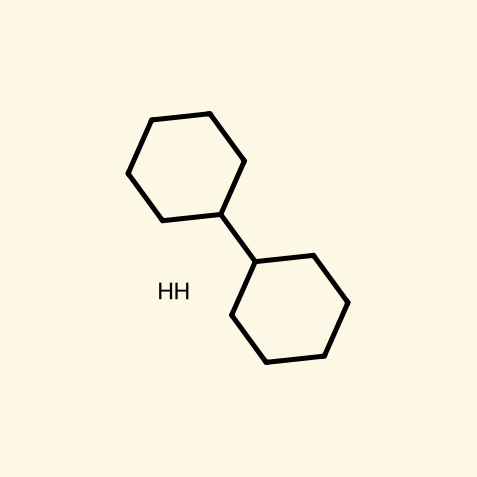 C1CCC(C2CCCCC2)CC1.[HH]